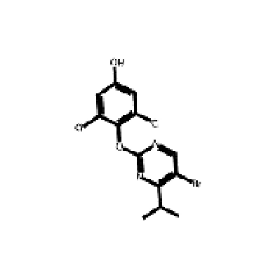 CC(C)c1nc(Oc2c(Cl)cc(O)cc2Cl)ncc1Br